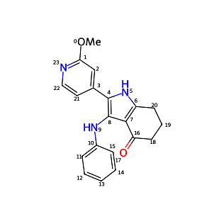 COc1cc(-c2[nH]c3c(c2Nc2ccccc2)C(=O)CCC3)ccn1